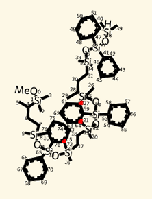 CO[Si](C)(C)C(C)CC[Si](C)(C)O[Si](O[Si](C)(C)CC[Si](C)(C)O[Si](O[Si](C)(C)C(C)CC[Si](C)(C)O[Si](O[SiH](C)C)(c1ccccc1)c1ccccc1)(c1ccccc1)c1ccccc1)(c1ccccc1)c1ccccc1